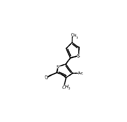 CC(=O)c1c(-c2cc(C)cs2)sc(Cl)c1C